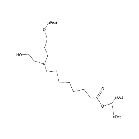 CCCCCCCCC(CCCCCCCC)OC(=O)CCCCCCCN(CCO)CCCOCCCCC